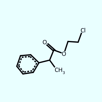 CC(C(=O)OCCCl)c1ccccc1